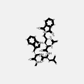 CNC(=O)[C@H](Cc1c[nH]c2ccccc12)NC(=O)[C@H](CC(C)C)NC(=O)[C@@H](CCCN1C(=O)c2ccccc2C1=O)SC(C)=O